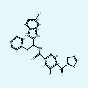 Cc1cc(C(=O)NC(Cc2ccccc2)c2nc3cc(Cl)ccc3[nH]2)ccc1C(=O)N1CC=CC1